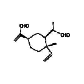 C=C[C@]1(C)CC[C@@H](C(=C)C=O)C[C@H]1C(=C)C=O